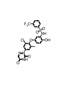 Cc1cc(-n2ncc(=O)[nH]c2=O)cc(Cl)c1Oc1ccc(O)c(NS(=O)(=O)c2cccc(C(F)(F)F)c2)c1